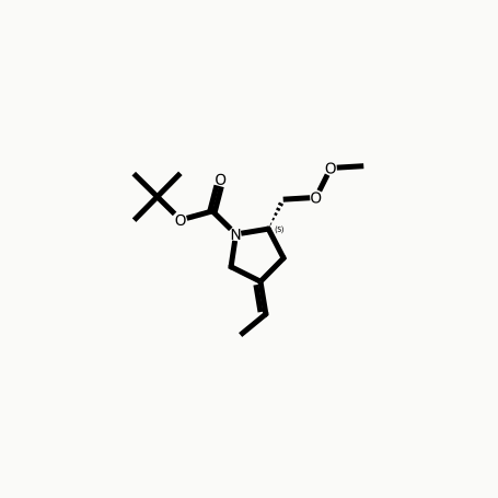 CC=C1C[C@@H](COOC)N(C(=O)OC(C)(C)C)C1